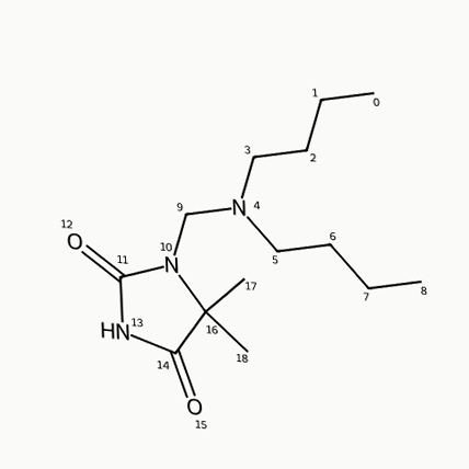 CCCCN(CCCC)CN1C(=O)NC(=O)C1(C)C